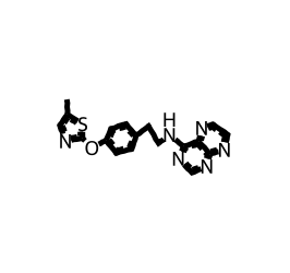 Cc1cnc(Oc2ccc(CCNc3ncnc4nccnc34)cc2)s1